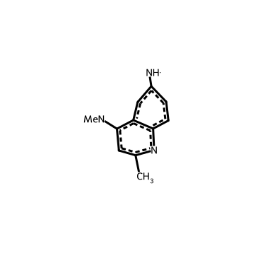 CNc1cc(C)nc2ccc([NH])cc12